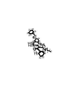 CCC=Nn1c(=O)c(C2=NS(O)(O)c3cc(OCc4ccccc4)ccc3N2)c(O)c2ccccc21